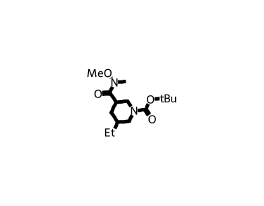 CCC1CC(C(=O)N(C)OC)CN(C(=O)OC(C)(C)C)C1